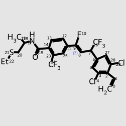 C=Cc1c(Cl)cc(C(/C=C(\F)c2ccc(C(=O)NC(C)CSCC)c(C(F)(F)F)c2)C(F)(F)F)cc1Cl